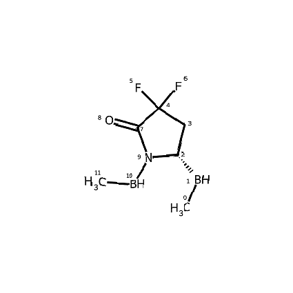 CB[C@H]1CC(F)(F)C(=O)N1BC